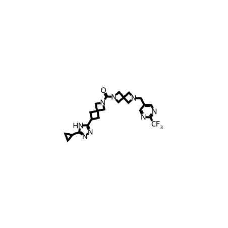 O=C(N1CC2(CC(c3nnc(C4CC4)[nH]3)C2)C1)N1CC2(CN(Cc3cnc(C(F)(F)F)nc3)C2)C1